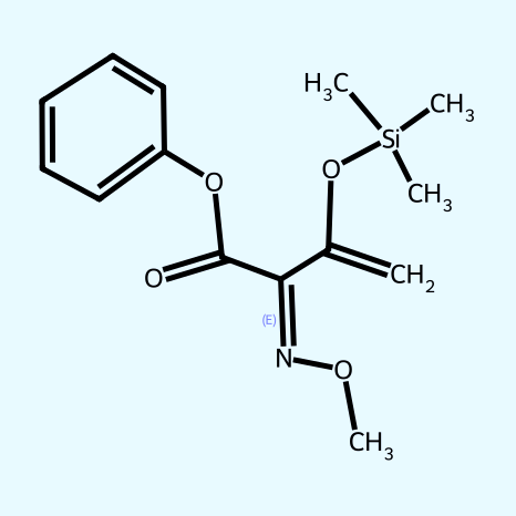 C=C(O[Si](C)(C)C)/C(=N\OC)C(=O)Oc1ccccc1